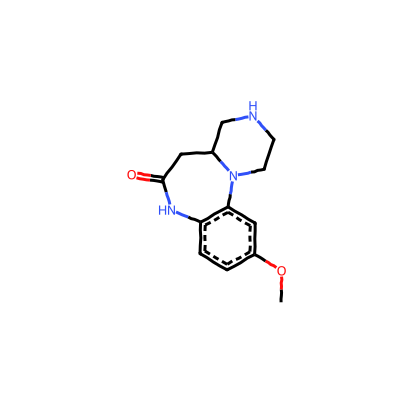 COc1ccc2c(c1)N1CCNCC1CC(=O)N2